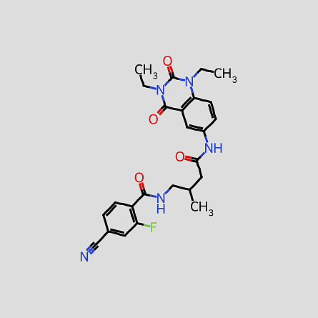 CCn1c(=O)c2cc(NC(=O)CC(C)CNC(=O)c3ccc(C#N)cc3F)ccc2n(CC)c1=O